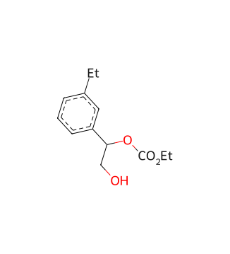 CCOC(=O)OC(CO)c1cccc(CC)c1